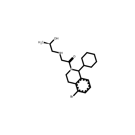 C[C@@H](O)CNCC(=O)N1CCc2c(Br)cccc2C1C1CCCCC1